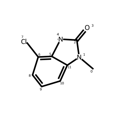 CN1C(=O)[N]c2c(Cl)cccc21